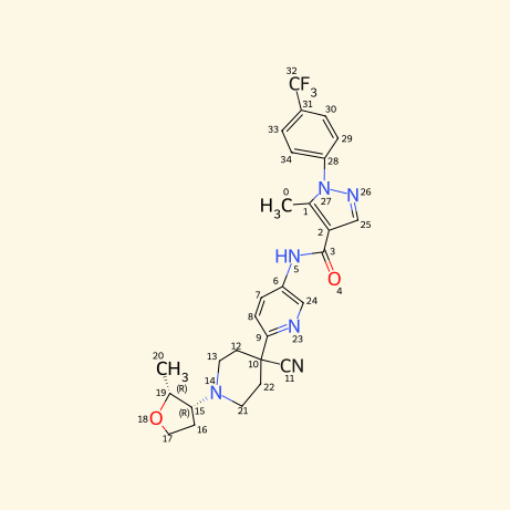 Cc1c(C(=O)Nc2ccc(C3(C#N)CCN([C@@H]4CCO[C@@H]4C)CC3)nc2)cnn1-c1ccc(C(F)(F)F)cc1